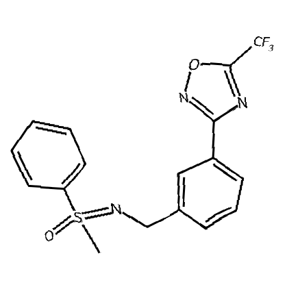 CS(=O)(=NCc1cccc(-c2noc(C(F)(F)F)n2)c1)c1ccccc1